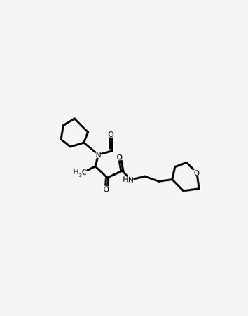 CC(C(=O)C(=O)NCCC1CCOCC1)N(C=O)C1CCCCC1